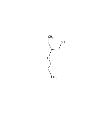 CCCOC(CC)CS